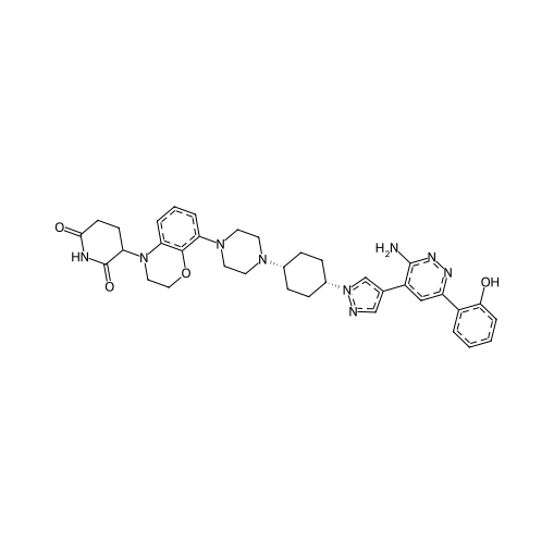 Nc1nnc(-c2ccccc2O)cc1-c1cnn([C@H]2CC[C@@H](N3CCN(c4cccc5c4OCCN5C4CCC(=O)NC4=O)CC3)CC2)c1